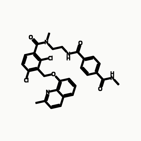 CNC(=O)c1ccc(C(=O)NCCN(C)C(=O)c2ccc(Cl)c(COc3cccc4ccc(C)nc34)c2Cl)cc1